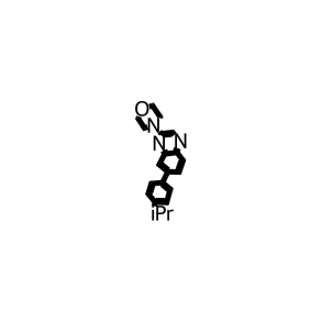 CC(C)c1ccc(-c2ccc3ncc(N4CCOCC4)nc3c2)cc1